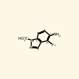 Nc1ccc2c(cnn2C(=O)O)c1F